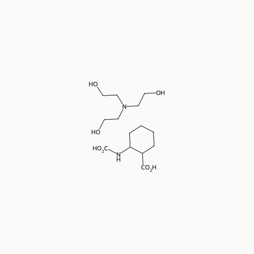 O=C(O)NC1CCCCC1C(=O)O.OCCN(CCO)CCO